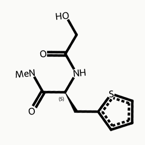 CNC(=O)[C@H](Cc1cccs1)NC(=O)CO